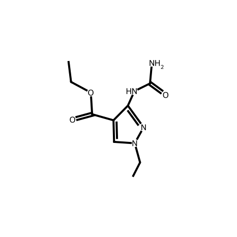 CCOC(=O)c1cn(CC)nc1NC(N)=O